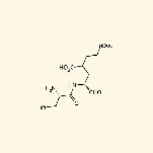 CCCCCCCCCCCCC(C[C@@H]([C]=O)NC(=O)[C@@H](N)CC(C)C)C(=O)O